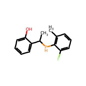 Cc1cccc(F)c1PC(C)c1ccccc1O